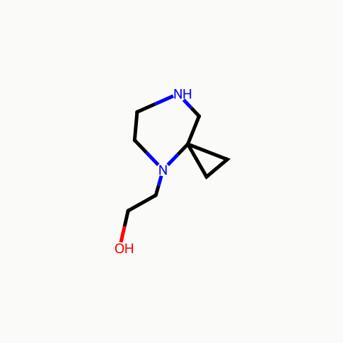 OCCN1CCNCC12CC2